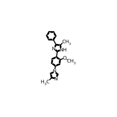 COc1cc(-n2cnc(C)c2)ccc1-c1nc(-c2ccccc2)c(C)[nH]1